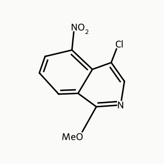 COc1ncc(Cl)c2c([N+](=O)[O-])cccc12